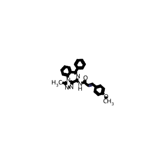 COc1ccc(/C=C/C(=O)NC2N=C(c3ccccc3)c3ccccc3-n3c(C)nnc32)cc1